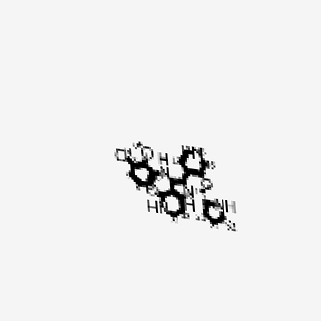 COc1c(Cl)cccc1Nc1c(-c2ccncc2OC[C@H]2CC[C@@H](C)N2)[nH]c2c1C(=O)NCC2